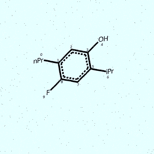 CCCc1cc(O)c(C(C)C)cc1F